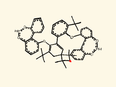 CC(C)(C)C1=C(Oc2cccc3o[pH]oc4ccccc4c23)C(c2cccc(C(C)(C)C)c2Oc2cccc3o[pH]oc4ccccc4c23)=CC(C(C)(C)C)(C(C)(C)C)C1